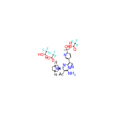 CC(=O)c1c([C@@H]2C[C@H]3CC[C@@H](C2)N3)nc2c(-c3ccc(C(C)(C)O)nc3)cnn2c1N.O=C(O)C(F)(F)F.O=C(O)C(F)(F)F.O=C(O)C(F)(F)F